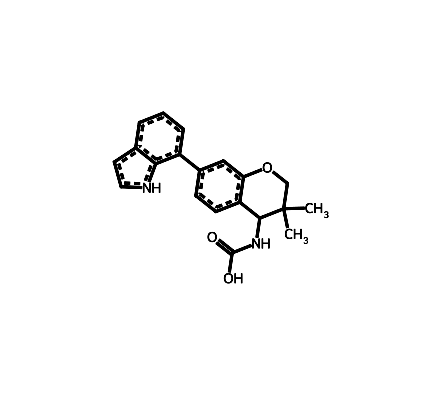 CC1(C)COc2cc(-c3cccc4cc[nH]c34)ccc2C1NC(=O)O